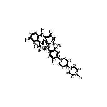 COc1cc(N2CCC(N3CCN(C)CC3)CC2)c(C)cc1Nc1nnc(Cl)c(Nc2ccc(F)cc2NS(C)(=O)=O)n1